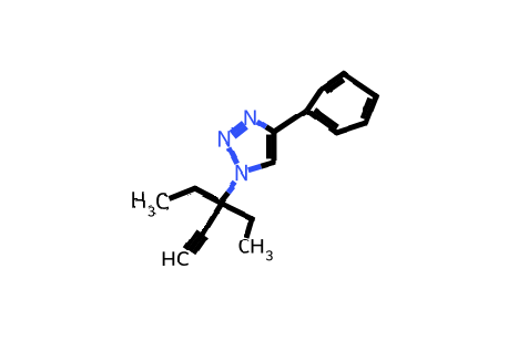 C#CC(CC)(CC)n1cc(-c2ccccc2)nn1